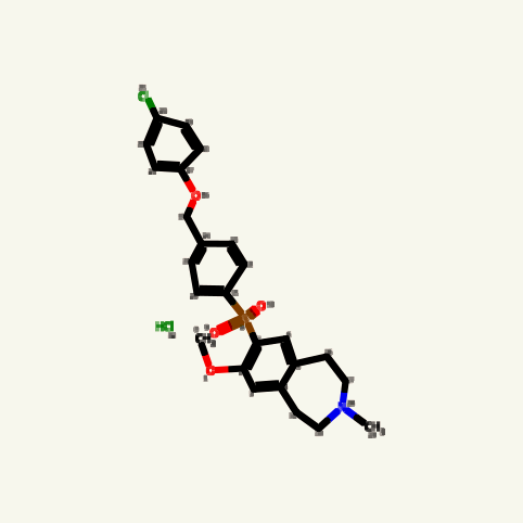 COc1cc2c(cc1S(=O)(=O)c1ccc(COc3ccc(Cl)cc3)cc1)CCN(C)CC2.Cl